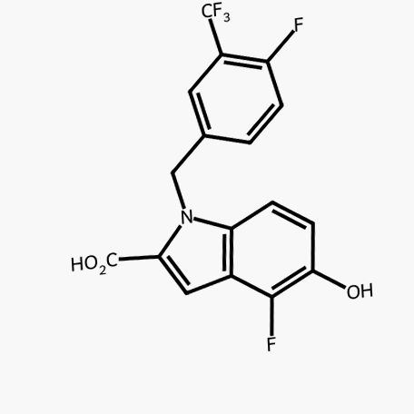 O=C(O)c1cc2c(F)c(O)ccc2n1Cc1ccc(F)c(C(F)(F)F)c1